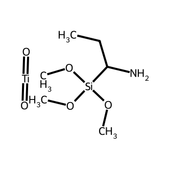 CCC(N)[Si](OC)(OC)OC.[O]=[Ti]=[O]